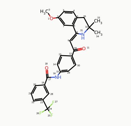 COc1ccc2c(c1)C(=CC(=O)c1ccc(NC(=O)c3cccc(C(F)(F)F)c3)cc1)NC(C)(C)C2